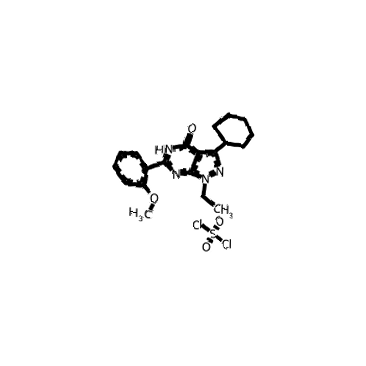 CCn1nc(C2CCCCC2)c2c(=O)[nH]c(-c3ccccc3OC)nc21.O=S(=O)(Cl)Cl